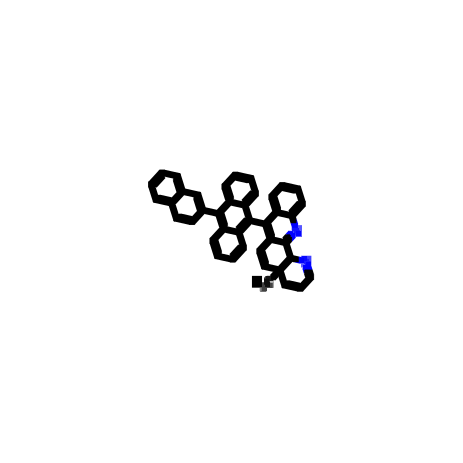 CC12C=CC=NC1c1nc3ccccc3c(-c3c4ccccc4c(-c4ccc5ccccc5c4)c4ccccc34)c1C=C2